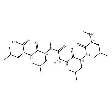 CN[C@@H](CC(C)C)C(=O)N[C@@H](CC(C)C)C(=O)N[C@H](C)C(=O)N(C)[C@@H](CC(C)C)C(=O)N[C@@H](CC(C)C)C(=O)O